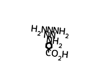 Nc1nc(N)nc(N)n1.O=C(O)c1ccccc1